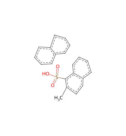 Cc1ccc2ccccc2c1S(=O)(=O)O.c1ccc2ccccc2c1